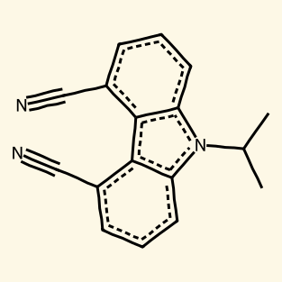 CC(C)n1c2cccc(C#N)c2c2c(C#N)cccc21